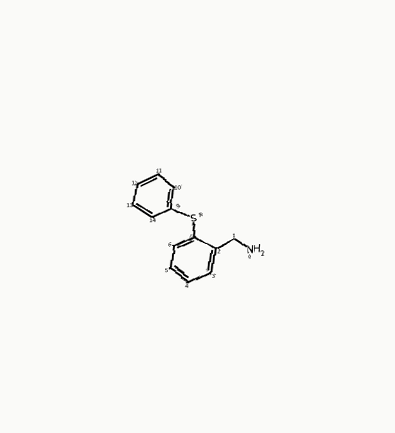 NCc1ccccc1Sc1ccccc1